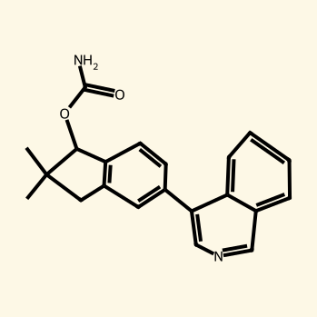 CC1(C)Cc2cc(-c3cncc4ccccc34)ccc2C1OC(N)=O